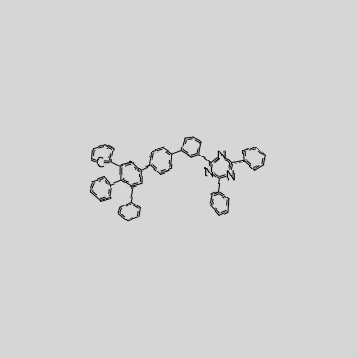 c1ccc(-c2nc(-c3ccccc3)nc(-c3cccc(-c4ccc(-c5cc(-c6ccccc6)c(-c6ccccc6)c(-c6ccccc6)c5)cc4)c3)n2)cc1